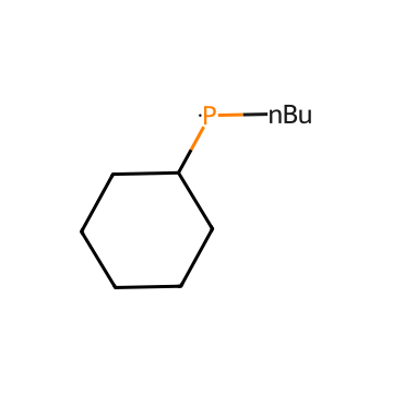 CCCC[P]C1CCCCC1